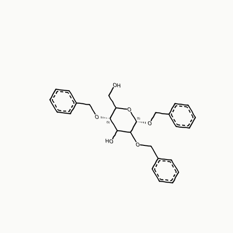 OCC1O[C@H](OCc2ccccc2)C(OCc2ccccc2)C(O)[C@@H]1OCc1ccccc1